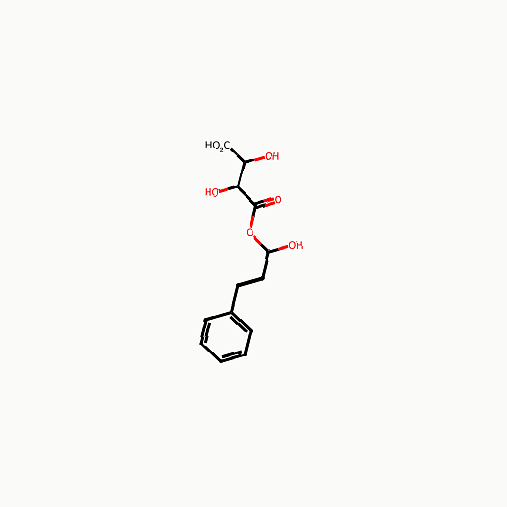 O=C(O)C(O)C(O)C(=O)OC(O)CCc1ccccc1